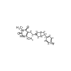 Cc1[nH]c(=O)n(C)c(=O)c1CCN1CC2CC(c3ccc(F)cc3)C2C1